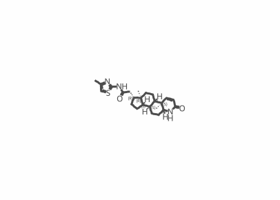 Cc1csc(NC(=O)C[C@H]2CC[C@H]3[C@@H]4CC[C@H]5NC(=O)C=C[C@]5(C)[C@H]4CC[C@]23C)n1